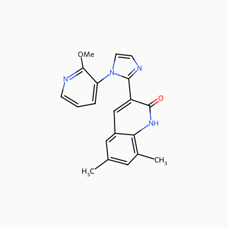 COc1ncccc1-n1ccnc1-c1cc2cc(C)cc(C)c2[nH]c1=O